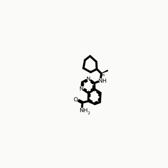 C[C@@H](Nc1ncnc2c(C(N)=O)cccc12)C1CCCCC1